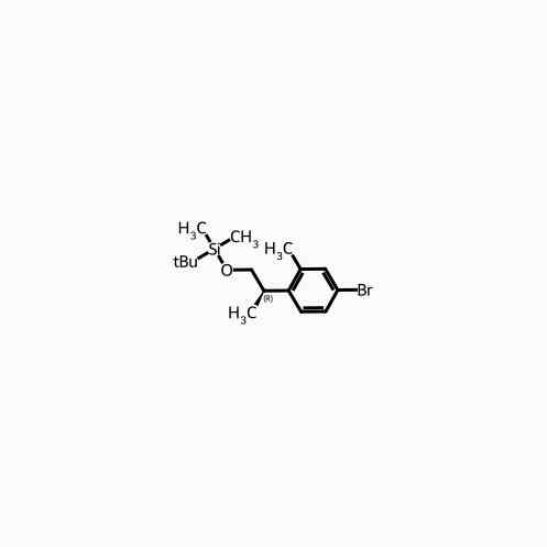 Cc1cc(Br)ccc1[C@@H](C)CO[Si](C)(C)C(C)(C)C